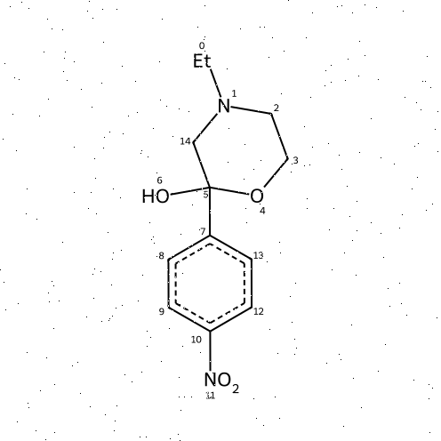 CCN1CCOC(O)(c2ccc([N+](=O)[O-])cc2)C1